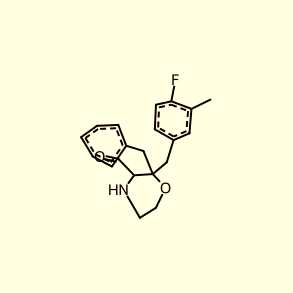 Cc1cc(CC2(Cc3ccccc3)OCCNC2C=O)ccc1F